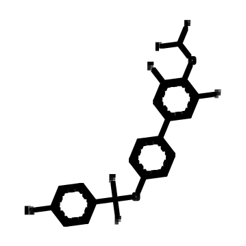 CCc1ccc(C(F)(F)Oc2ccc(-c3cc(F)c(OC(F)F)c(F)c3)cc2)cc1